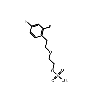 CS(=O)(=O)OCCOCCc1ccc(F)cc1F